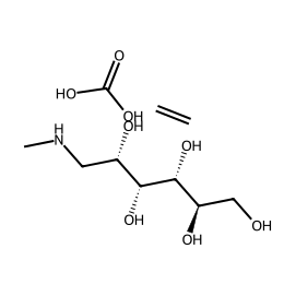 C=C.CNC[C@H](O)[C@@H](O)[C@H](O)[C@H](O)CO.O=C(O)O